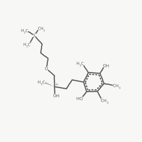 Cc1c(C)c(O)c(CC[C@@](C)(O)COCCCS(C)(C)C)c(C)c1O